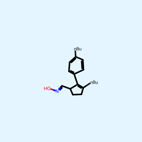 CCCCC1=C(c2ccc(CCCC)cc2)C(C=NO)CC1